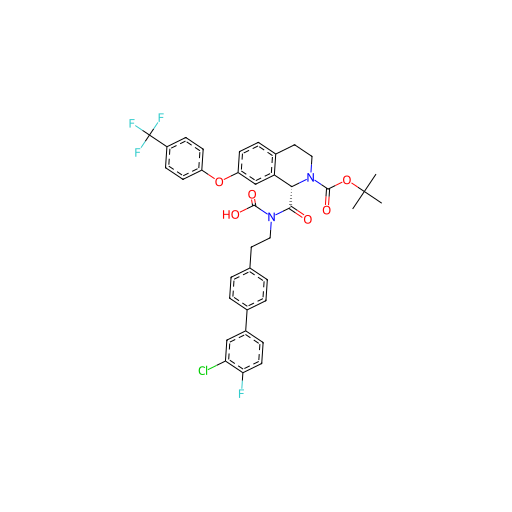 CC(C)(C)OC(=O)N1CCc2ccc(Oc3ccc(C(F)(F)F)cc3)cc2[C@H]1C(=O)N(CCc1ccc(-c2ccc(F)c(Cl)c2)cc1)C(=O)O